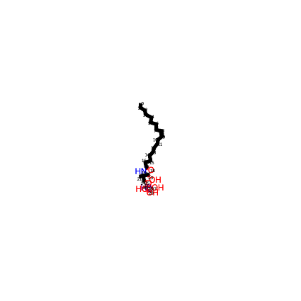 CCCCCCCC/C=C\CCCCCCCC(=O)NC(C)(CO)CO[PH](O)(O)O